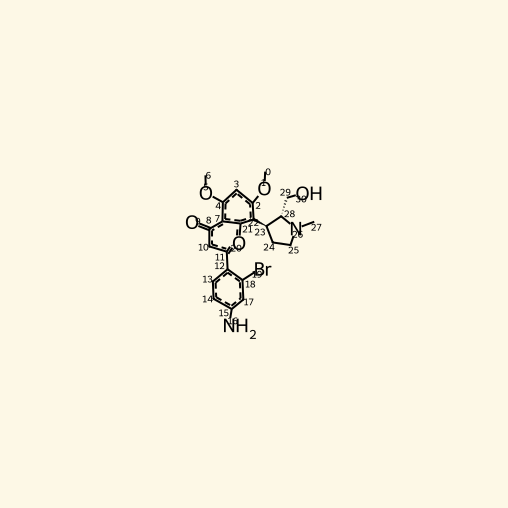 COc1cc(OC)c2c(=O)cc(-c3ccc(N)cc3Br)oc2c1[C@@H]1CCN(C)[C@H]1CO